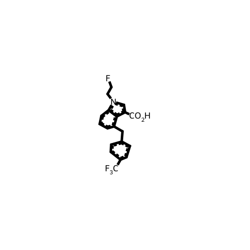 O=C(O)c1cn(CCF)c2cccc(Cc3ccc(C(F)(F)F)cc3)c12